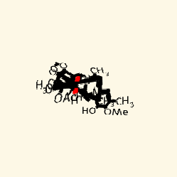 COc1c(C)cc2c(c1O)C1[C@@H]3[C@@H]4SCC(=O)C(=O)OCC(c5c6c(c(C)c(OC(C)=O)c54)OCO6)N3C(C)(C2)CN1C